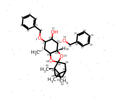 C[C@@H]1C(OCc2ccccc2)C(O)[C@H](OCc2ccccc2)[C@@H]2OC3(CC4CC[C@@]3(C)C4(C)C)OC12